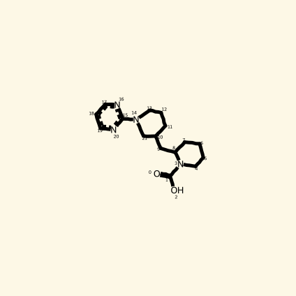 O=C(O)N1CCCCC1CC1CCCN(c2ncccn2)C1